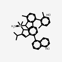 CC1=Cc2c(-c3c(C)cccc3C)ccc(C)c2[CH]1[Zr]([CH3])([CH3])(=[SiH2])[CH]1C(C(C)C)=Cc2c(-c3cccc4ccccc34)cccc21.Cl.Cl